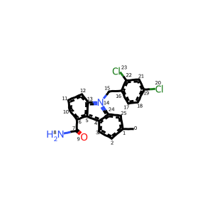 Cc1c[c]c2c3c(C(N)=O)cccc3n(Cc3ccc(Cl)cc3Cl)c2c1